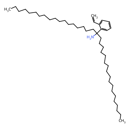 C=Cc1ccccc1C(N)(CCCCCCCCCCCCCCCCCC)CCCCCCCCCCCCCCCCCC